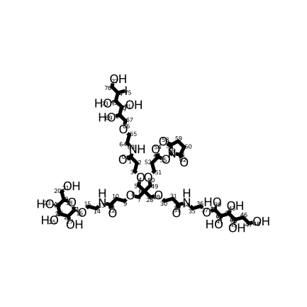 O=C(CCOCC(COCCC(=O)NCCO[C@H]1OC(CO)[C@@H](O)[C@H](O)C1O)(COCCC(=O)NCCO[C@@H](O)[C@H](O)C(O)[C@H](O)CCO)COCCC(=O)ON1C(=O)CCC1=O)NCCOCC(O)[C@@H](O)[C@H](O)C(I)CO